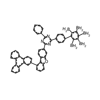 Bc1c(B)c(B)c(-c2ccc(-c3nc(-c4ccccc4)nc(-c4ccc5c(c4)oc4cccc(-c6ccc7c8ccccc8c8ccccc8c7c6)c45)n3)cc2)c(B)c1B